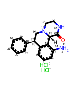 Cl.Cl.Nc1cccc2c1[C@H]1C(=O)NCCN1C[C@@H]2c1ccccc1